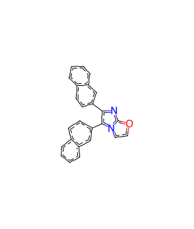 c1ccc2cc(-c3nc4occn4c3-c3ccc4ccccc4c3)ccc2c1